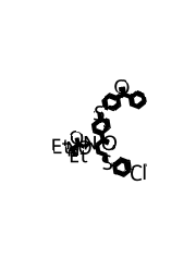 CCN(CC)C(=O)O/N=C(\CCSc1ccc(Cl)cc1)C(=O)c1ccc(Sc2ccc(C(=O)c3ccccc3)cc2)cc1